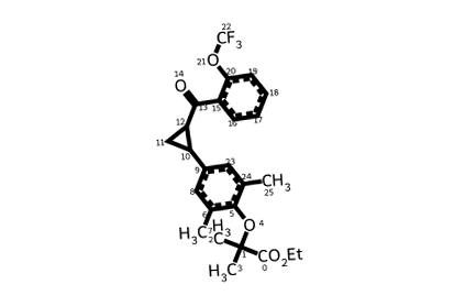 CCOC(=O)C(C)(C)Oc1c(C)cc(C2CC2C(=O)c2ccccc2OC(F)(F)F)cc1C